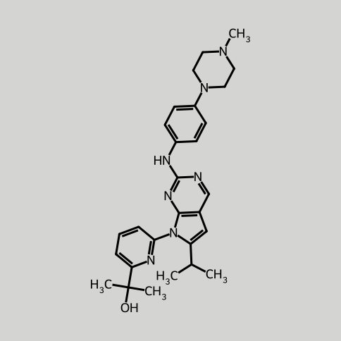 CC(C)c1cc2cnc(Nc3ccc(N4CCN(C)CC4)cc3)nc2n1-c1cccc(C(C)(C)O)n1